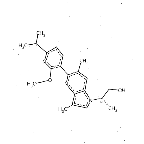 COc1nc(C(C)C)ccc1-c1nc2c(C)cn([C@@H](C)CO)c2cc1C